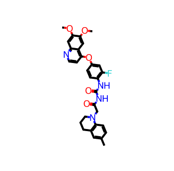 COc1cc2nccc(Oc3ccc(NC(=O)NC(=O)CN4CCCc5cc(C)ccc54)c(F)c3)c2cc1OC